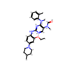 CCOc1cc(N2CCC(C)CC2)ccc1Nc1ncc(N(C)C=O)c(N(C)c2ccccc2C)n1